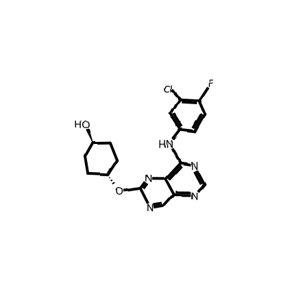 O[C@H]1CC[C@H](Oc2ncc3ncnc(Nc4ccc(F)c(Cl)c4)c3n2)CC1